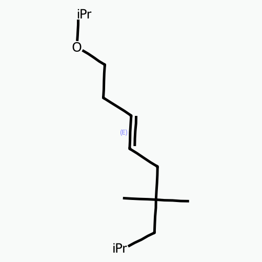 CC(C)CC(C)(C)C/C=C/CCOC(C)C